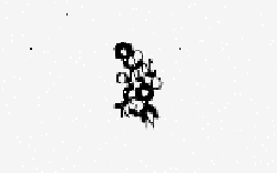 COCCN(C)C(=O)[C@H](Cc1ccccc1)N(Cc1ccc(-c2ccncc2)cc1)C(=O)C=Cc1sc(C)nc1C